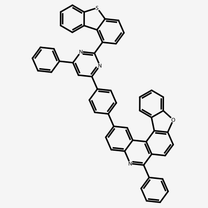 c1ccc(-c2cc(-c3ccc(-c4ccc5nc(-c6ccccc6)c6ccc7oc8ccccc8c7c6c5c4)cc3)nc(-c3cccc4sc5ccccc5c34)n2)cc1